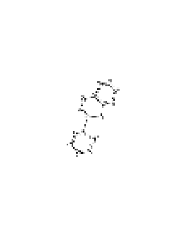 [C]1=C(c2cnccn2)Cc2ccccc2O1